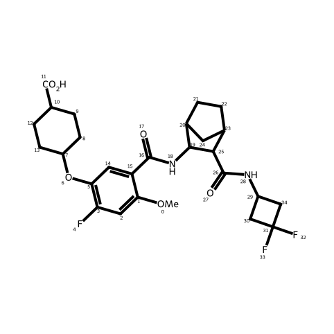 COc1cc(F)c(OC2CCC(C(=O)O)CC2)cc1C(=O)NC1C2CCC(C2)C1C(=O)NC1CC(F)(F)C1